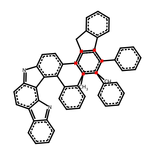 Cc1cc2c(c(-c3ccc4c(c3-c3ccccc3-c3nnnc(-c5ccccc5)c3-c3ccccc3)-c3c5c(ccc3=N4)=c3ccccc3=N5)c1C)Cc1ccccc1-2